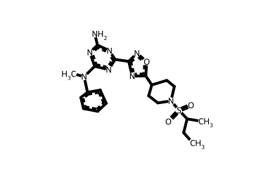 CCC(C)S(=O)(=O)N1CCC(c2nc(-c3nc(N)nc(N(C)c4ccccc4)n3)no2)CC1